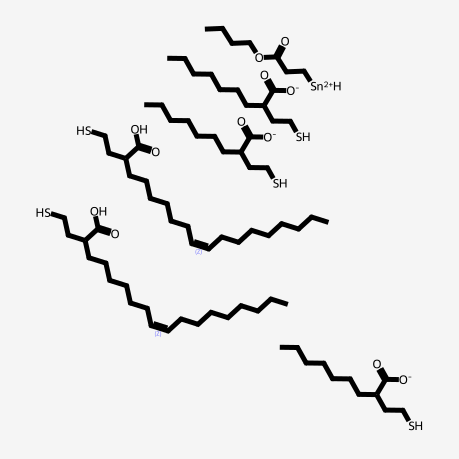 CCCCCCCC(CCS)C(=O)[O-].CCCCCCCC(CCS)C(=O)[O-].CCCCCCCC(CCS)C(=O)[O-].CCCCCCCC/C=C\CCCCCCC(CCS)C(=O)O.CCCCCCCC/C=C\CCCCCCC(CCS)C(=O)O.CCCCOC(=O)C[CH2][SnH+2]